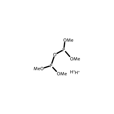 COP(OC)OP(OC)OC.[H+].[H+]